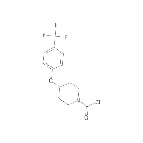 O=C(Cl)N1CCC(Oc2ccc(C(F)(F)F)cc2)CC1